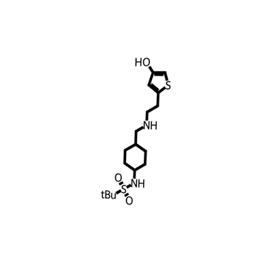 CC(C)(C)S(=O)(=O)NC1CCC(CNCCc2cc(O)cs2)CC1